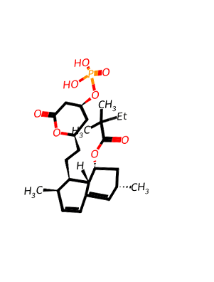 CCC(C)(C)C(=O)O[C@@H]1C[C@H](C)C=C2C=C[C@@H](C)[C@@H](CC[C@@H]3C[C@H](OP(=O)(O)O)CC(=O)O3)[C@@H]21